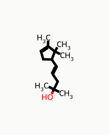 CC1=CCC(C=CCC(C)(C)O)C1(C)C